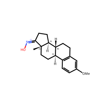 COc1ccc2c(c1)CC[C@@H]1[C@@H]2CC[C@]2(C)/C(=N\O)CC[C@@H]12